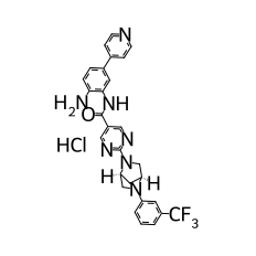 Cl.Nc1ccc(-c2ccncc2)cc1NC(=O)c1cnc(N2C[C@@H]3C[C@H]2CN3c2cccc(C(F)(F)F)c2)nc1